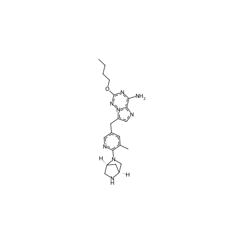 CCCCOc1nc(N)c2ncc(Cc3cnc(N4C[C@@H]5C[C@H]4CN5)c(C)c3)n2n1